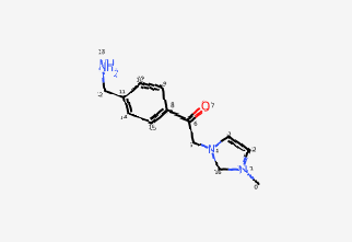 CN1C=CN(CC(=O)c2ccc(CN)cc2)C1